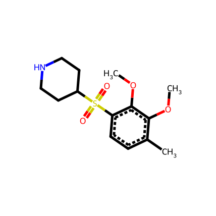 COc1c(C)ccc(S(=O)(=O)C2CCNCC2)c1OC